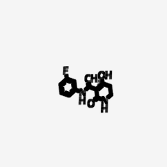 C=C(Nc1cccc(F)c1)C1=C(O)CCNC1=O